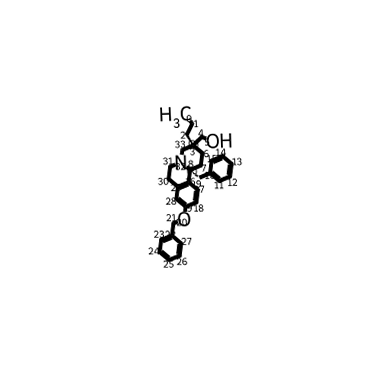 CCC[C@@]1(CO)CC[C@@]2(Cc3ccccc3)c3ccc(OCc4ccccc4)cc3CCN2C1